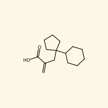 C=C(CC1(C2CCCCC2)CCCC1)C(=O)O